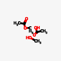 CC(=O)O.CO.COC(C)=O